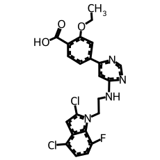 CCOc1cc(-c2cc(NCCn3c(Cl)cc4c(Cl)ccc(F)c43)ncn2)ccc1C(=O)O